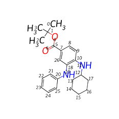 CC(C)(C)OC(=O)c1ccc(NC2CCCCC2)c(Nc2ccccc2)c1